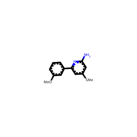 COc1cccc(-c2cc(SC)cc(N)n2)c1